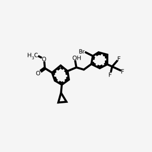 COC(=O)c1cc(C(O)Cc2cc(C(F)(F)F)ccc2Br)cc(C2CC2)c1